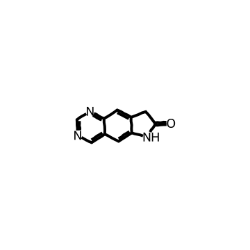 O=C1Cc2cc3ncncc3cc2N1